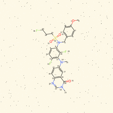 COc1ccc(CN(c2ccc(F)c(N(C)c3ccc4ncn(C)c(=O)c4c3)c2F)S(=O)(=O)CCCF)cc1